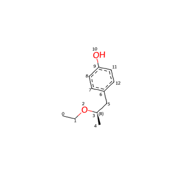 CCO[C@H](C)Cc1ccc(O)cc1